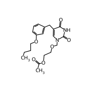 CCCCOc1cccc(Cc2cn(COCCOC(C)=O)c(=O)[nH]c2=O)c1